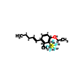 CCC/C=C/c1ccc(OCC)c(S(F)(F)(F)(F)F)c1C